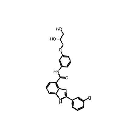 O=C(Nc1cccc(OC[C@H](O)CO)c1)c1cccc2[nH]c(-c3cccc(Cl)c3)nc12